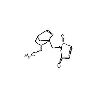 CCC1CC2C=CC1(CN1C(=O)C=CC1=O)C2